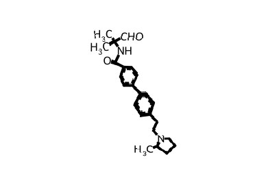 CC1CCCN1CCc1ccc(-c2ccc(C(=O)NC(C)(C)C=O)cc2)cc1